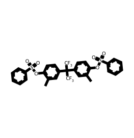 Cc1cc(C(c2ccc(OS(=O)(=O)c3ccccc3)c(C)c2)(C(F)(F)F)C(F)(F)F)ccc1OS(=O)(=O)c1ccccc1